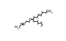 C=NOCCOC(CCCCI)CCCCCCC